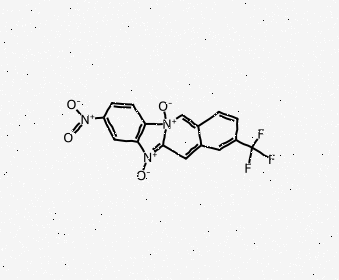 O=[N+]([O-])c1ccc2c(c1)[N+]([O-])=C1C=c3cc(C(F)(F)F)ccc3=C[N+]12[O-]